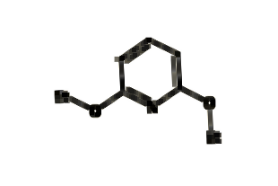 CCOc1[c]ccc(OCC)n1